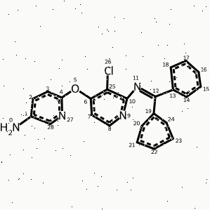 Nc1ccc(Oc2ccnc(N=C(c3ccccc3)c3ccccc3)c2Cl)nc1